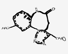 O=Cc1nnn2c1CC(=O)Nc1ccc(O)cc1-2